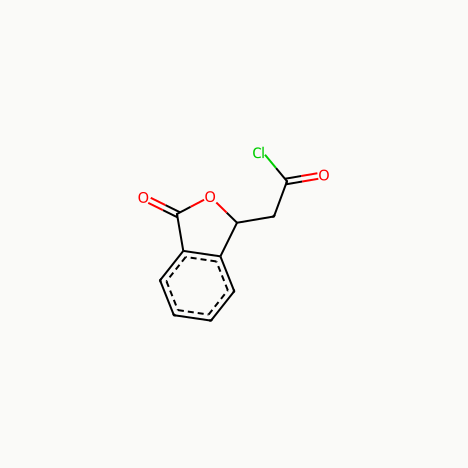 O=C(Cl)CC1OC(=O)c2ccccc21